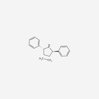 CC.c1ccc([C@H]2CC[C@H](c3ccccc3)P2)cc1